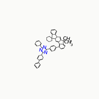 CC1(C)C2=CC3c4ccccc4C4(CCCCC4)C3C=C2c2c(-c3ccc(-c4nc(-c5ccccc5)nc(C5C=CC(c6ccccc6)=CC5)n4)cc3)cccc21